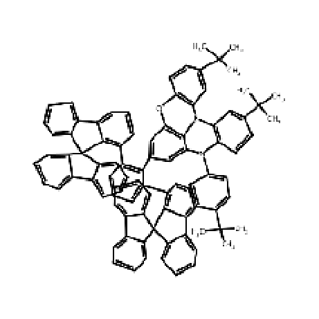 CC(C)(C)c1ccc(N2c3ccc(C(C)(C)C)cc3B3c4cc(C(C)(C)C)ccc4Oc4cc(-c5c(-c6cccc7c6C6(c8ccccc8-c8ccccc86)c6ccccc6-7)cccc5-c5cccc6c5C5(c7ccccc7-c7ccccc75)c5ccccc5-6)cc2c43)cc1